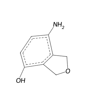 Nc1ccc(O)c2c1COC2